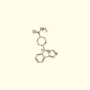 NC(=O)[C@H]1CC[C@@H]([C@@H]2c3ccccc3-c3cncn32)CC1